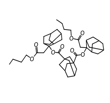 CCCCOC(=O)CC1(OC(=O)C23CC4CC(C2)CC(C(=O)OC2(CC(=O)OCCCC)C5CC6CC(C5)CC2C6)(C4)C3)C2CC3CC(C2)CC1C3